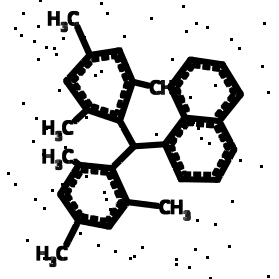 Cc1cc(C)c(C(c2c(C)cc(C)cc2C)c2cccc3ccccc23)c(C)c1